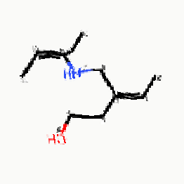 C/C=C(/CCO)CN/C(C)=C\C